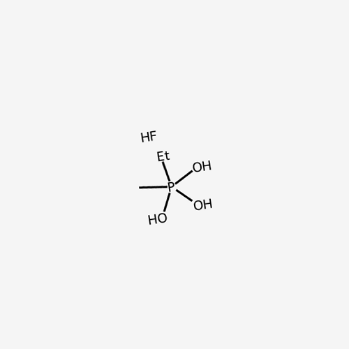 CCP(C)(O)(O)O.F